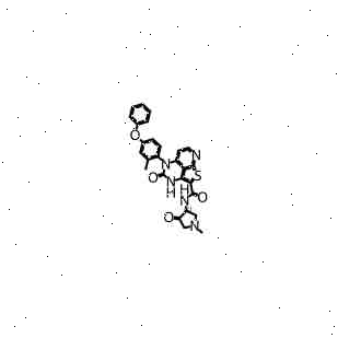 Cc1cc(Oc2ccccc2)ccc1N1C(=O)Nc2c(C(=O)N[C@H]3CN(C)CC3=O)sc3nccc1c23